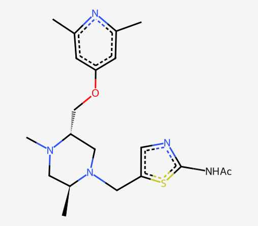 CC(=O)Nc1ncc(CN2C[C@@H](COc3cc(C)nc(C)c3)N(C)C[C@@H]2C)s1